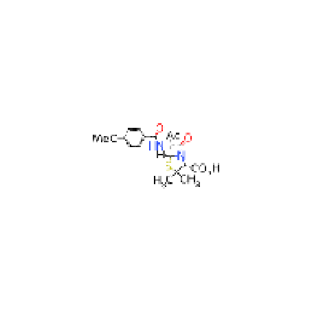 COc1ccc(C(=O)N[C@@]2(C(C)=O)C(=O)N3[C@@H](C(=O)O)C(C)(C)S[C@@H]32)cc1